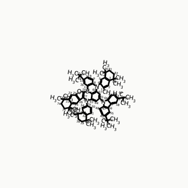 Cc1cc2c(cc1N1c3ccc(C(C)(C)C)cc3B3c4oc5cc6c(cc5c4N(c4ccc5c(c4)C(C)(C)CCC5(C)C)c4cc(-n5c7ccc(C(C)(C)C)cc7c7cc(C(C)(C)C)ccc75)cc1c43)C(C)(C)CCC6(C)C)C(C)(C)CCC2(C)C